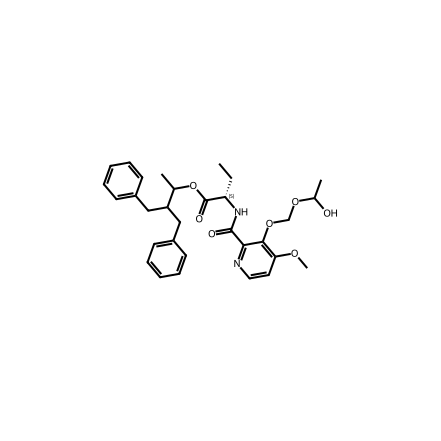 CC[C@H](NC(=O)c1nccc(OC)c1OCOC(C)O)C(=O)OC(C)C(Cc1ccccc1)Cc1ccccc1